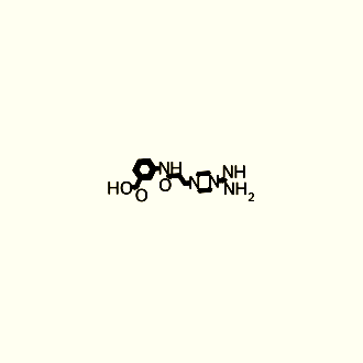 N=C(N)N1CCN(CCC(=O)Nc2cccc(C(=O)O)c2)CC1